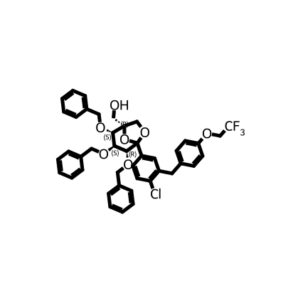 OC[C@]12COC(c3ccc(Cl)c(Cc4ccc(OCC(F)(F)F)cc4)c3)(O1)[C@H](OCc1ccccc1)[C@@H](OCc1ccccc1)[C@@H]2OCc1ccccc1